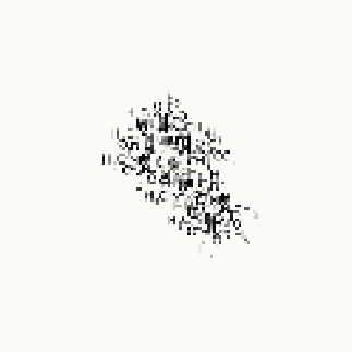 C[C@H](N)C(=O)N[C@@H](C)C(=O)N[C@@H](C)C(=O)N[C@@H](C)C(=O)N[C@@H](C)C(=O)N[C@@H](C)C(=O)N[C@@H](C)C(=O)N[C@@H](C)C(=O)N[C@@H](C)C(=O)N[C@@H](C)C(=O)N[C@@H](C)C(=O)N[C@@H](C)C(=O)N[C@@H](C)C(=O)N[C@@H](C)C(=O)N[C@@H](C)C(=O)N[C@@H](C)C(=O)N[C@@H](C)C(=O)N[C@@H](C)C(=O)N[C@@H](C)C(=O)N[C@@H](C)C(=O)O